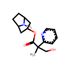 CN1C2CCC1CC(OC(=O)C(C)(CO)c1ccccn1)C2